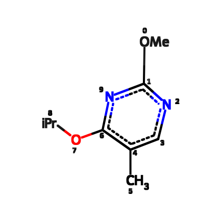 COc1ncc(C)c(OC(C)C)n1